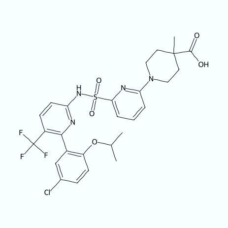 CC(C)Oc1ccc(Cl)cc1-c1nc(NS(=O)(=O)c2cccc(N3CCC(C)(C(=O)O)CC3)n2)ccc1C(F)(F)F